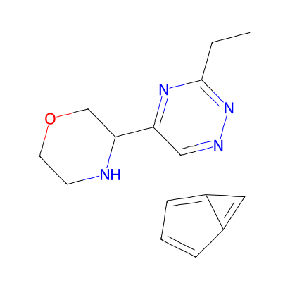 CCc1nncc(C2COCCN2)n1.c1cc2cc-2c1